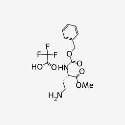 COC(=O)[C@H](CCN)NC(=O)OCc1ccccc1.O=C(O)C(F)(F)F